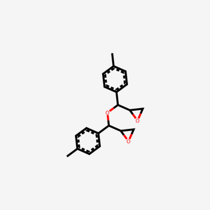 Cc1ccc(C(OC(c2ccc(C)cc2)C2CO2)C2CO2)cc1